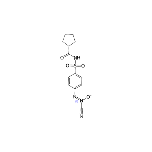 N#C/[N+]([O-])=N/c1ccc(S(=O)(=O)NC(=O)C2CCCC2)cc1